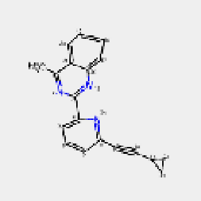 Cc1nc(-c2cccc(C#CC3CC3)n2)nc2ccccc12